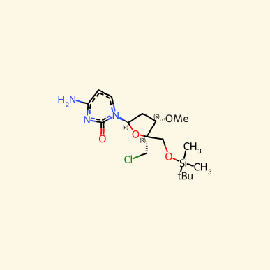 CO[C@H]1C[C@H](n2ccc(N)nc2=O)O[C@]1(CCl)CO[Si](C)(C)C(C)(C)C